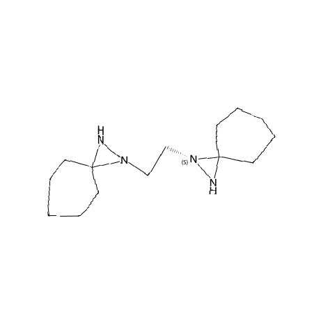 C1CCC2(CC1)NN2CC[N@@]1NC12CCCCC2